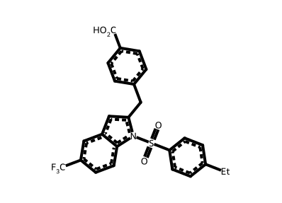 CCc1ccc(S(=O)(=O)n2c(Cc3ccc(C(=O)O)cc3)cc3cc(C(F)(F)F)ccc32)cc1